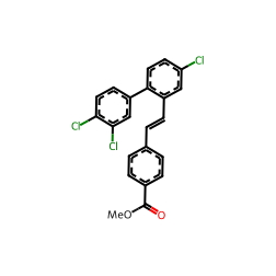 COC(=O)c1ccc(/C=C/c2cc(Cl)ccc2-c2ccc(Cl)c(Cl)c2)cc1